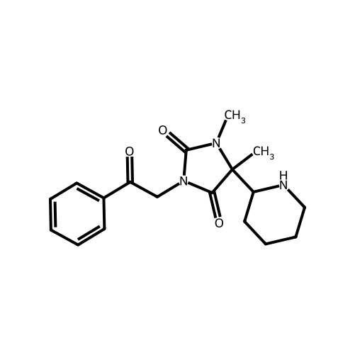 CN1C(=O)N(CC(=O)c2ccccc2)C(=O)C1(C)C1CCCCN1